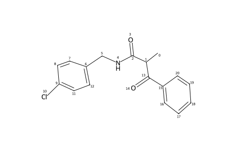 CC(C(=O)NCc1ccc(Cl)cc1)C(=O)c1ccccc1